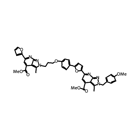 COC(=O)c1cc(-c2ccco2)nc2nn(CCCOc3ccc(-c4ccc(-c5cc(C(=O)OC)c6c(C)n(Cc7ccc(OC)cc7)nc6n5)o4)cc3)c(C)c12